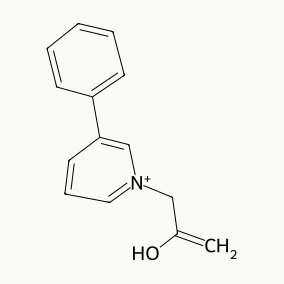 C=C(O)C[n+]1cccc(-c2ccccc2)c1